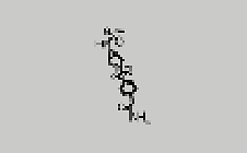 C=CS(=O)(=O)NC1C2CN(S(=O)(=O)c3ccc(CC(N)=O)cc3)CC21